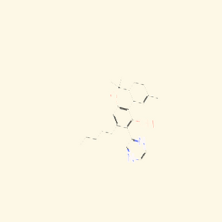 CCCCCc1cc2c(c(O)c1-c1cnccn1)C1C=C(C)CCC1C(C)(C)O2